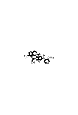 C#CC(=O)N1C[C@@H]2C[C@@H](N[C@H]3CCOC[C@H]3OC)C[C@]2(C(=O)N2CCc3ncc(C(F)(F)F)cc3C2)C1